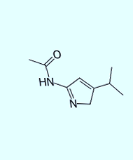 CC(=O)NC1=NCC(C(C)C)=C1